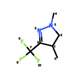 CC1CN(C)N=C1C(F)(F)F